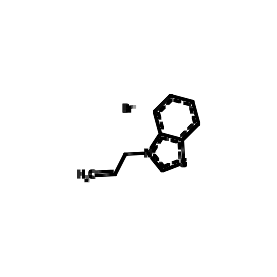 C=CC[n+]1csc2ccccc21.[Br-]